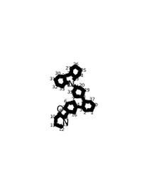 c1ccc(-c2ccc3oc4cccnc4c3c2)c(-c2ccc(-n3c4ccccc4c4ccccc43)cc2)c1